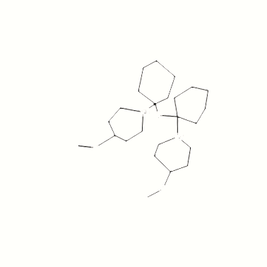 COC1CC[SH](C2(OC3([SH]4CCC(OC)CC4)CCCCC3)CCCCC2)CC1